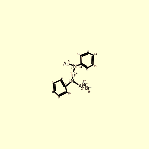 CC(=O)[N]([Ti+2][N](C(C)=O)c1ccccc1)c1ccccc1.[Br-].[Br-]